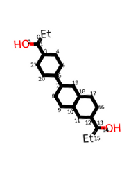 CCC(O)C1CCC(C2CCC3CC(C(O)CC)CCC3C2)CC1